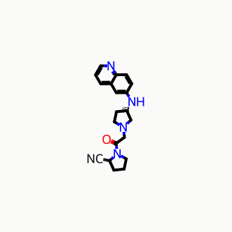 N#CC1CCCN1C(=O)CN1CC[C@H](Nc2ccc3ncccc3c2)C1